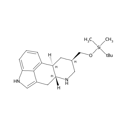 CC(C)(C)[Si](C)(C)OC[C@H]1CN[C@@H]2Cc3c[nH]c4cccc(c34)[C@H]2C1